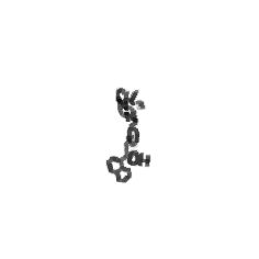 CN1CCN(CCOCC(O)c2cccc3ccccc23)CC1